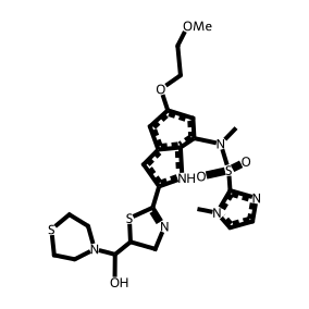 COCCOc1cc(N(C)S(=O)(=O)c2nccn2C)c2[nH]c(C3=NCC(C(O)N4CCSCC4)S3)cc2c1